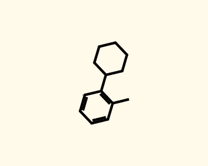 Cc1ccc[c]c1C1CCCCC1